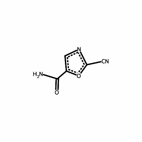 N#Cc1ncc(C(N)=O)o1